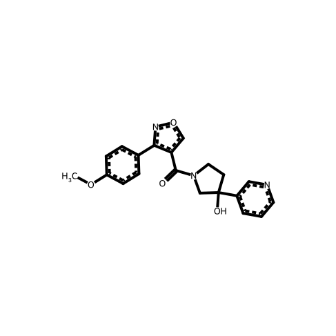 COc1ccc(-c2nocc2C(=O)N2CCC(O)(c3cccnc3)C2)cc1